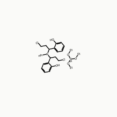 CCCN(C(CCCl)c1ccccc1O)C(CCCl)c1ccccc1O.CCO[SiH](OCC)OCC